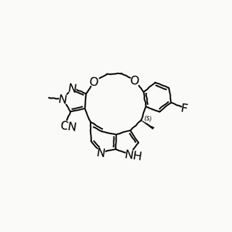 C[C@@H]1c2cc(F)ccc2OCCOc2nn(C)c(C#N)c2-c2cnc3[nH]cc1c3c2